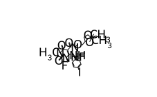 Cn1c(=O)c(C(=O)NOCC2COC(C)(C)O2)c(Nc2ccc(I)cc2F)n(CF)c1=O